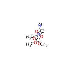 CCOc1cc(C(CC(C)=O)N2C(=O)c3cccc(Cn4cccc4)c3C2=O)ccc1OC